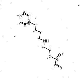 C=CC(=O)OCCNCCCCc1ccccc1